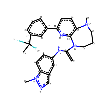 C=C(Nc1ccc2c(cnn2C)c1)N1CCCN(C)c2ccc(-c3cccc(C(C)(F)F)c3)nc21